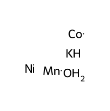 O.[Co].[KH].[Mn].[Ni]